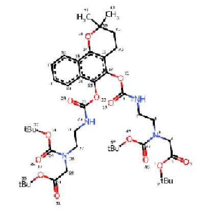 CC(C)(C)OC(=O)CN(CCNC(=O)Oc1c2c(c3ccccc3c1OC(=O)NCCN(CC(=O)OC(C)(C)C)C(=O)OC(C)(C)C)OC(C)(C)CC2)C(=O)OC(C)(C)C